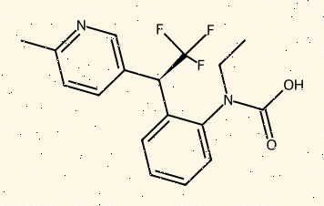 CCN(C(=O)O)c1ccccc1[C@@H](c1ccc(C)nc1)C(F)(F)F